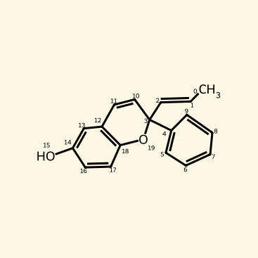 CC=CC1(c2ccccc2)C=Cc2cc(O)ccc2O1